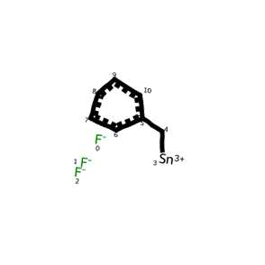 [F-].[F-].[F-].[Sn+3][CH2]c1ccccc1